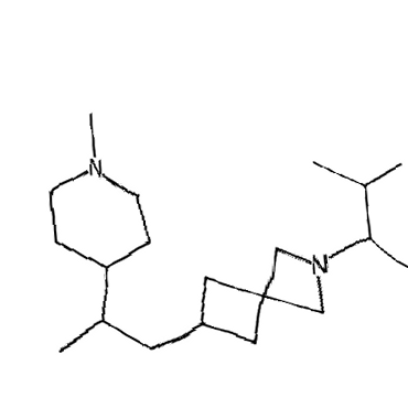 CC(C)C(C)N1CC2(CC(CC(C)C3CCN(C)CC3)C2)C1